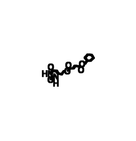 O=C(/C=C/C(=O)OCC1CCCCC1)OCCc1cc(=O)[nH]c(=O)[nH]1